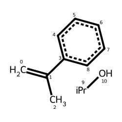 C=C(C)c1ccccc1.CC(C)O